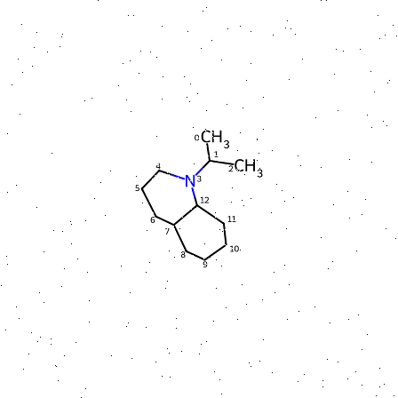 CC(C)N1CCCC2CCCCC21